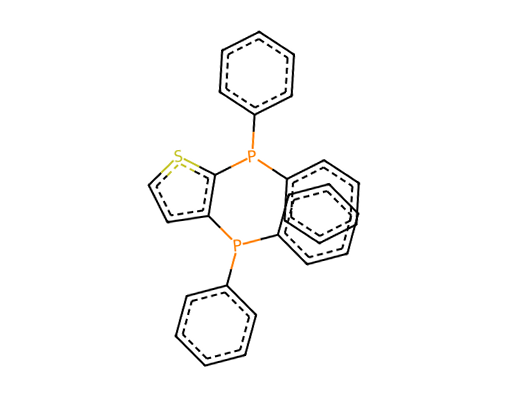 c1ccc(P(c2ccccc2)c2ccsc2P(c2ccccc2)c2ccccc2)cc1